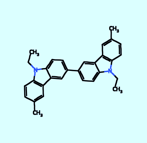 CCn1c2ccc(C)cc2c2cc(-c3ccc4c(c3)c3cc(C)ccc3n4CC)ccc21